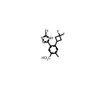 CCc1nnc(-c2cc(C(=O)O)c(C)cc2C2CC(F)(F)C2)[nH]1